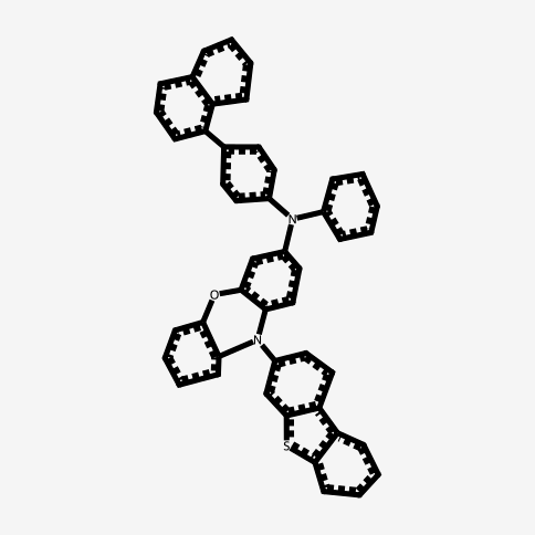 c1ccc(N(c2ccc(-c3cccc4ccccc34)cc2)c2ccc3c(c2)Oc2ccccc2N3c2ccc3c(c2)sc2ccccc23)cc1